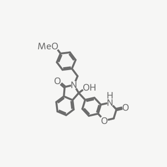 COc1ccc(CN2C(=O)c3ccccc3C2(O)c2ccc3c(c2)NC(=O)CO3)cc1